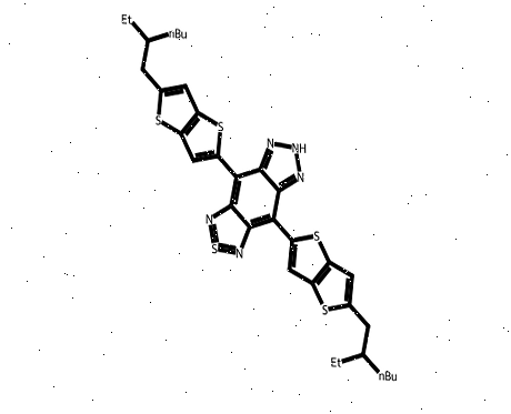 CCCCC(CC)Cc1cc2sc(-c3c4c(c(-c5cc6sc(CC(CC)CCCC)cc6s5)c5n[nH]nc35)N=S=N4)cc2s1